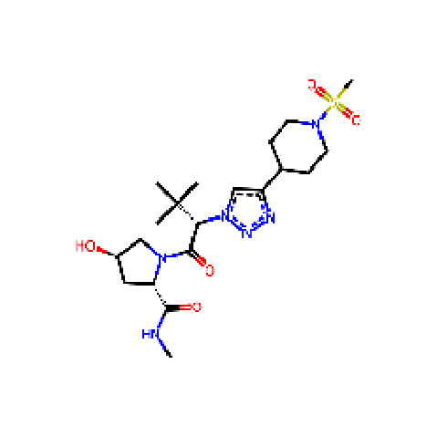 CNC(=O)[C@@H]1C[C@@H](O)CN1C(=O)[C@@H](n1cc(C2CCN(S(C)(=O)=O)CC2)nn1)C(C)(C)C